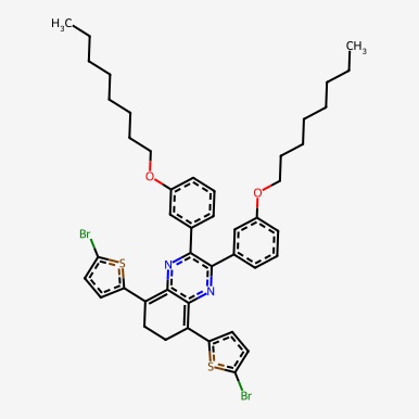 CCCCCCCCOc1cccc(-c2nc3c(nc2-c2cccc(OCCCCCCCC)c2)=C(c2ccc(Br)s2)CCC=3c2ccc(Br)s2)c1